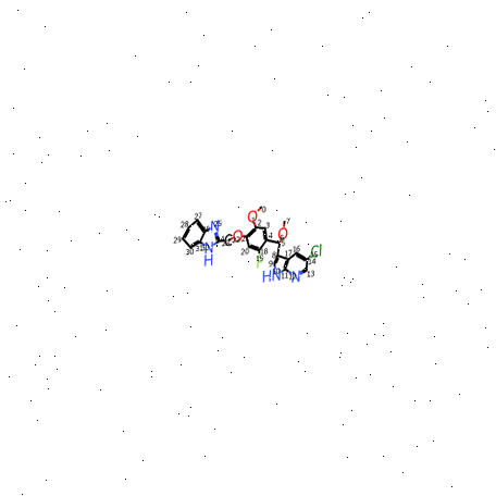 COc1cc(C(OC)c2c[nH]c3ncc(Cl)cc23)c(F)cc1OCc1nc2ccccc2[nH]1